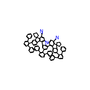 N#Cc1cc2c(c3c1C1(CCCC1)c1cc(-c4c(-c5ccccc5)cccc4-c4ccccc4)ccc1-3)c1cc(-c3c(-c4ccccc4)cccc3-c3ccccc3)cc3c4c5c(c(C#N)cc4n2c13)C1(CCCC1)c1cc(-c2c(-c3ccccc3)cccc2-c2ccccc2)ccc1-5